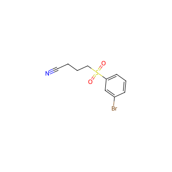 N#CCCCS(=O)(=O)c1cccc(Br)c1